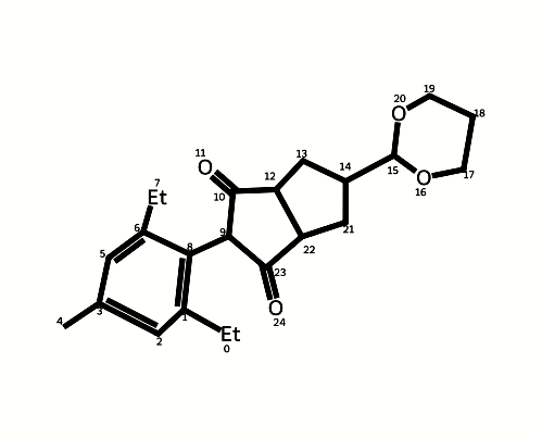 CCc1cc(C)cc(CC)c1C1C(=O)C2CC(C3OCCCO3)CC2C1=O